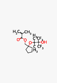 C=C(C)C(=O)OCC1(OC(C)(C)C(O)(C(F)(F)F)C(F)(F)F)CCCC1